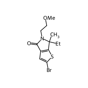 CCC1(C)c2sc(Br)cc2C(=O)N1CCOC